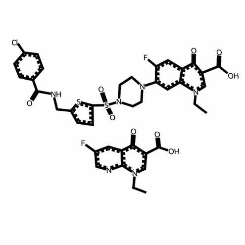 CCn1cc(C(=O)O)c(=O)c2cc(F)c(N3CCN(S(=O)(=O)c4ccc(CNC(=O)c5ccc(Cl)cc5)s4)CC3)cc21.CCn1cc(C(=O)O)c(=O)c2cc(F)cnc21